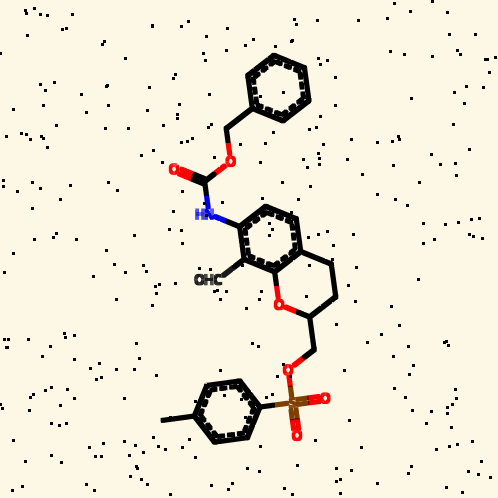 Cc1ccc(S(=O)(=O)OCC2CCc3ccc(NC(=O)OCc4ccccc4)c(C=O)c3O2)cc1